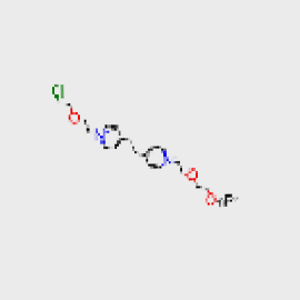 CCCOCCOCC[n+]1ccc(CCc2cc[n+](CCOCCCl)cc2)cc1